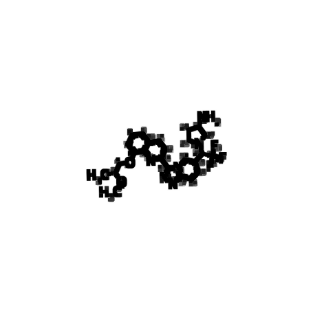 CO[C@H](C)COc1cccc2ccc(-c3nnc4ccc([C@@H](N5CC[C@H](N)C5)C(F)(F)F)cn34)nc12